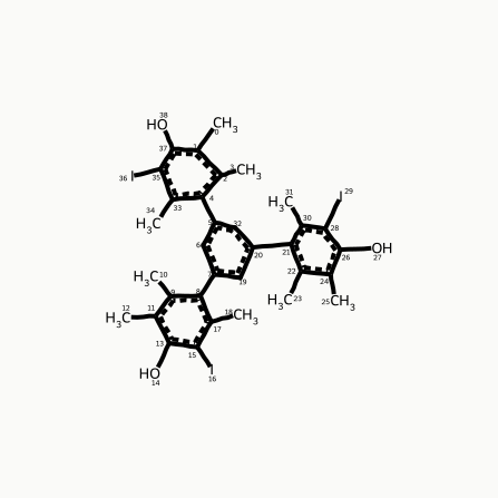 Cc1c(C)c(-c2cc(-c3c(C)c(C)c(O)c(I)c3C)cc(-c3c(C)c(C)c(O)c(I)c3C)c2)c(C)c(I)c1O